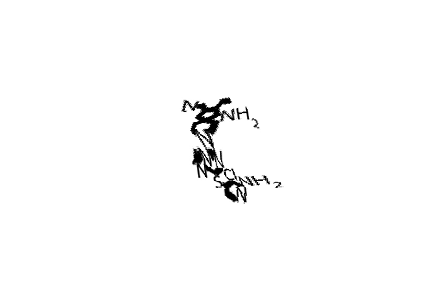 C=CC1=C(/C=N\C)CC2(CCN(c3ncc(Sc4ccnc(N)c4Cl)c4nccn34)CC2)[C@@H]1N